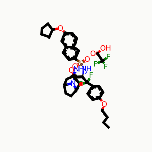 CCCCOc1ccc(C(F)(F)[C@H](NS(=O)(=O)c2ccc3cc(OC4CCCC4)ccc3c2)C(=O)N2C3CCC2CC(N)C3)cc1.O=C(O)C(F)(F)F